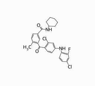 Cc1ccc(C(=O)NC2CCCCC2)cc1C(=O)c1ccc(Nc2ccc(Cl)cc2F)cc1Cl